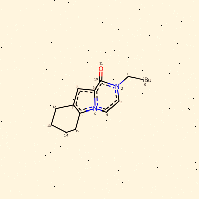 CCC(C)Cn1ccn2c3c(cc2c1=O)CCCC3